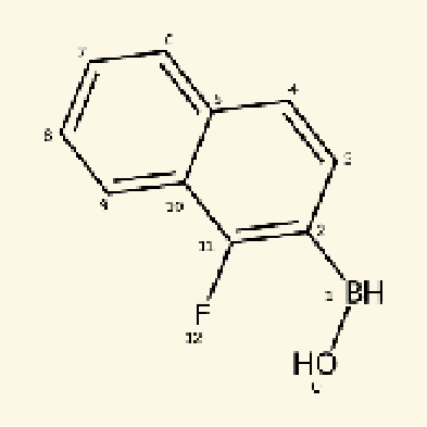 OBc1ccc2ccccc2c1F